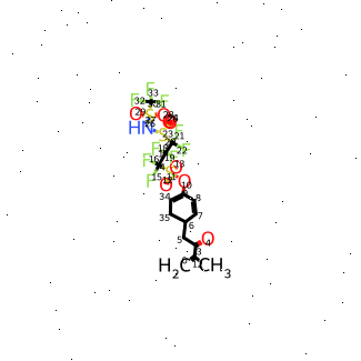 C=C(C)C(=O)CC1C=CC(OS(=O)(=O)C(F)(F)C(F)(F)C(F)(F)S(=O)(=O)NS(=O)(=O)C(F)(F)F)=CC1